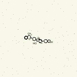 C[C@H](CC(=O)N1CCC(O)(Cn2cnc(N3CCC4(CCNC4)CC3)cc2=O)CC1)c1ccccc1.Cl